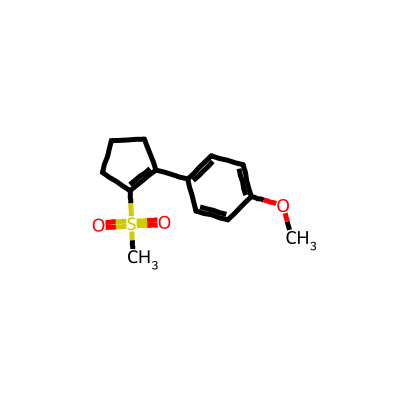 COc1ccc(C2=C(S(C)(=O)=O)CCC2)cc1